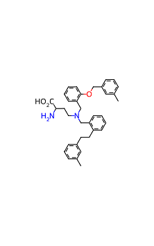 Cc1cccc(CCc2ccccc2CN(CCC(N)C(=O)O)Cc2ccccc2OCc2cccc(C)c2)c1